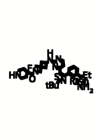 CCC(c1cccc(-c2nc(C(C)(C)C)sc2-c2ccnc(NC3CC4(C3)CN(C(=O)C3(F)CCNCC3)C4)n2)c1F)S(N)(=O)=O